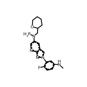 CNc1ccc(F)c(-n2cc3cc(N(P)CC4CCCCO4)cnc3n2)c1